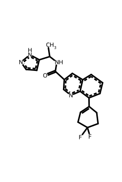 CC(NC(=O)c1cnc2c(C3=CCC(F)(F)CC3)cccc2c1)c1ccn[nH]1